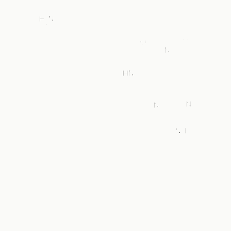 NC1CCC(CNc2nc(NCCc3ccccc3)ncc2[N+](=O)[O-])CC1